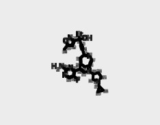 CCC(O)(C#CC1=NC=C2CC(=C1)C(c1nc(N)ncc1F)=CN2C1CCN(C2CC2)C1)c1cc(C)on1